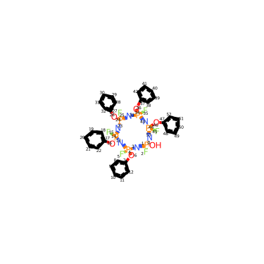 OP1(F)=NP(F)(Oc2ccccc2)=NP(F)(Oc2ccccc2)=NP(F)(Oc2ccccc2)=NP(F)(Oc2ccccc2)=NP(F)(Oc2ccccc2)=N1